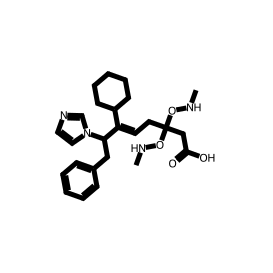 CNOC(C/C=C(\C1CCCCC1)C(Cc1ccccc1)n1ccnc1)(CC(=O)O)ONC